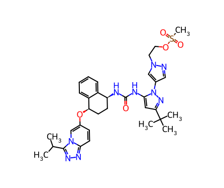 CC(C)c1nnc2ccc(O[C@@H]3CC[C@H](NC(=O)Nc4cc(C(C)(C)C)nn4-c4cnn(CCOS(C)(=O)=O)c4)c4ccccc43)cn12